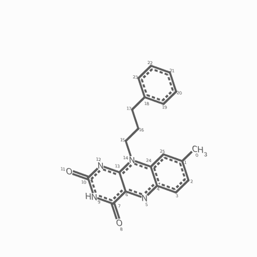 Cc1ccc2nc3c(=O)[nH]c(=O)nc-3n(CCCc3ccccc3)c2c1